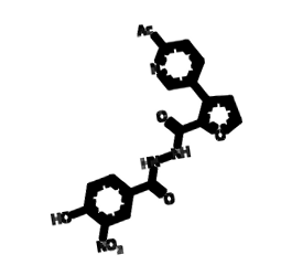 CC(=O)c1ccc(-c2ccoc2C(=O)NNC(=O)c2ccc(O)c([N+](=O)[O-])c2)cn1